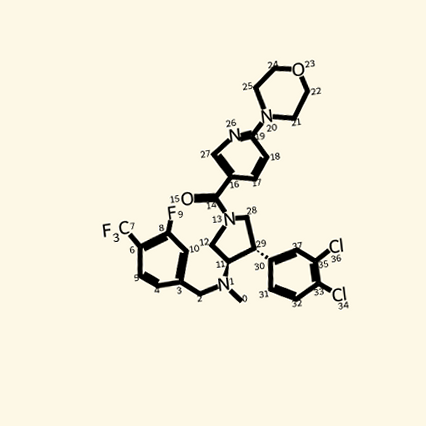 CN(Cc1ccc(C(F)(F)F)c(F)c1)[C@H]1CN(C(=O)c2ccc(N3CCOCC3)nc2)C[C@@H]1c1ccc(Cl)c(Cl)c1